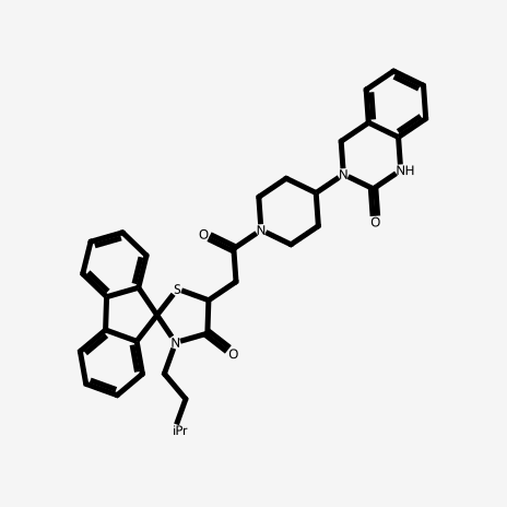 CC(C)CCN1C(=O)C(CC(=O)N2CCC(N3Cc4ccccc4NC3=O)CC2)SC12c1ccccc1-c1ccccc12